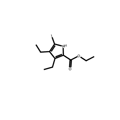 CCOC(=O)c1[nH]c(I)c(CC)c1CC